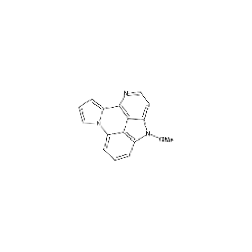 COn1c2ccnc3c2c2c1cccc2n1cccc31